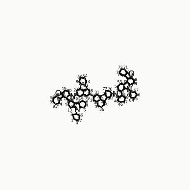 c1ccc(-n2c3ccccc3c3c2ccc2c4c5c(ccc4n(-c4cc6c7c(cc(-c8cc9c%10c(cccc%10c8)-c8cc(-n%10c%11ccccc%11c%11c%10ccc%10c%12c%13c(ccc%12n(-c%12ccccc%12)c%10%11)oc%10ccccc%10%13)ccc8-9)cc7c4)-c4ccccc4-6)c23)oc2ccccc25)cc1